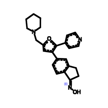 O/N=C1\CCc2cc(-c3cc(CN4CCCCC4)oc3-c3ccncc3)ccc21